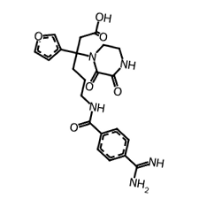 N=C(N)c1ccc(C(=O)NCCCC(CC(=O)O)(c2ccoc2)N2CCNC(=O)C2=O)cc1